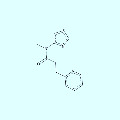 CN(C(=O)CCc1ccccn1)c1cscn1